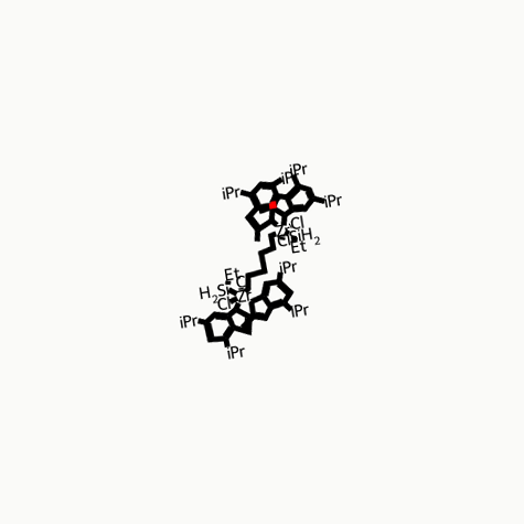 CC[SiH2][Zr]([Cl])([Cl])([CH2]CCCC[CH2][Zr]([Cl])([Cl])([SiH2]CC)([CH]1C(C)=Cc2c(C(C)C)cc(C(C)C)cc21)[CH]1C(C)=Cc2c(C(C)C)cc(C(C)C)cc21)([CH]1C(C)=Cc2c(C(C)C)cc(C(C)C)cc21)[CH]1C(C)=Cc2c(C(C)C)cc(C(C)C)cc21